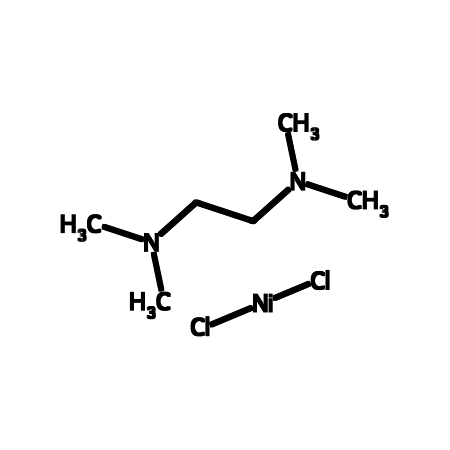 CN(C)CCN(C)C.[Cl][Ni][Cl]